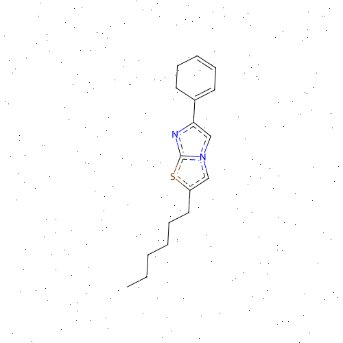 CCCCCCc1cn2cc(C3=CC=CCC3)nc2s1